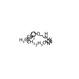 Cn1nnnc1NCCCOc1cccc(C[N+](C)(C)C)c1.[I-]